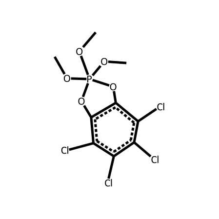 COP1(OC)(OC)Oc2c(Cl)c(Cl)c(Cl)c(Cl)c2O1